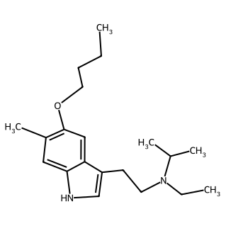 CCCCOc1cc2c(CCN(CC)C(C)C)c[nH]c2cc1C